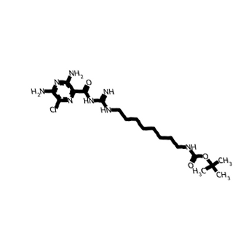 CC(C)(C)OC(=O)NCCCCCCCCNC(=N)NC(=O)c1nc(Cl)c(N)nc1N